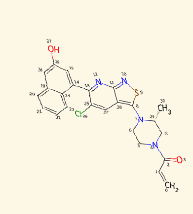 C=CC(=O)N1CCN(c2snc3nc(-c4cc(O)cc5ccccc45)c(Cl)cc23)[C@H](C)C1